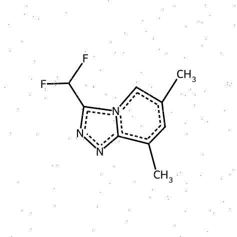 Cc1cc(C)c2nnc(C(F)F)n2c1